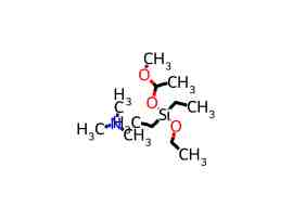 CCO[Si](CC)(CC)OC(C)OC.CN(C)C